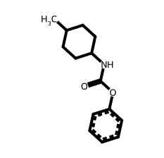 CC1CCC(NC(=O)Oc2ccccc2)CC1